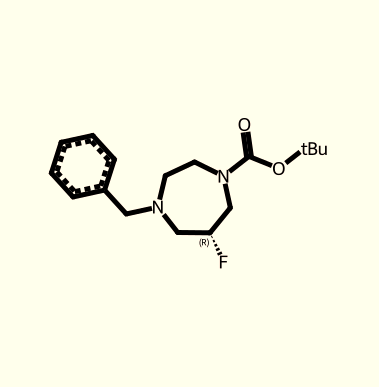 CC(C)(C)OC(=O)N1CCN(Cc2ccccc2)C[C@@H](F)C1